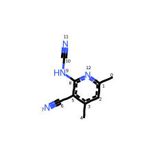 Cc1cc(C)c(C#N)c(NC#N)n1